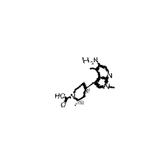 Cc1c(N)cnc2c1c([C@@H]1CCN(C(=O)O)[C@@H](C)C1)cn2C